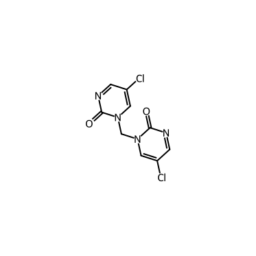 O=c1ncc(Cl)cn1Cn1cc(Cl)cnc1=O